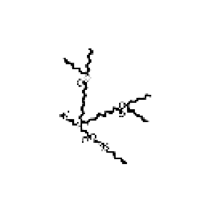 CCCCCCSSCCOC(=O)CCN(CCCN(C)C)C(CCCCCCCCC(=O)OC(CCCCCC)CCCCCC)CCCCCCCCC(=O)OC(CCCCCC)CCCCCC